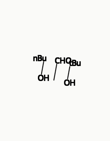 CC(C)(C)O.CC=O.CCCCO